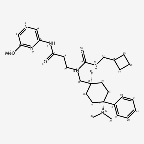 COc1cncc(NC(=O)CCN(C[C@]2(C)CC[C@@](c3ccccc3)(N(C)C)CC2)C(=O)NCC2CCC2)n1